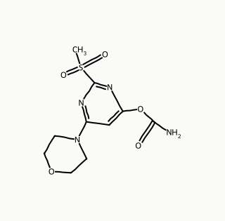 CS(=O)(=O)c1nc(OC(N)=O)cc(N2CCOCC2)n1